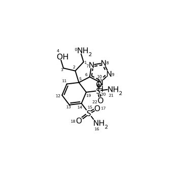 NCC(CO)C1(c2nnn[nH]2)C=CC=C(S(N)(=O)=O)C1S(N)(=O)=O